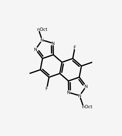 CCCCCCCCn1nc2c(C)c(F)c3c4nn(CCCCCCCC)nc4c(C)c(F)c3c2n1